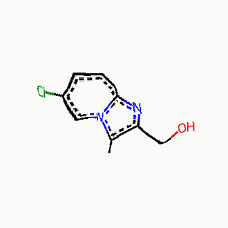 Cc1c(CO)nc2ccc(Cl)cn12